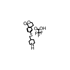 O=C(O)C(F)(F)F.O=C1OCCc2cc(SCC3CCNCC3)ccc21